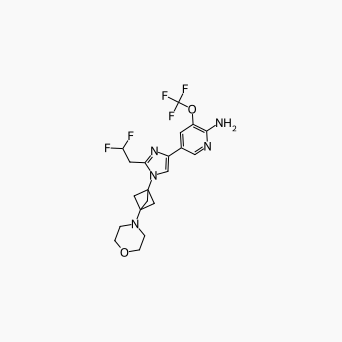 Nc1ncc(-c2cn(C34CC(N5CCOCC5)(C3)C4)c(CC(F)F)n2)cc1OC(F)(F)F